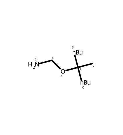 CCCCC(C)(CCCC)OCN